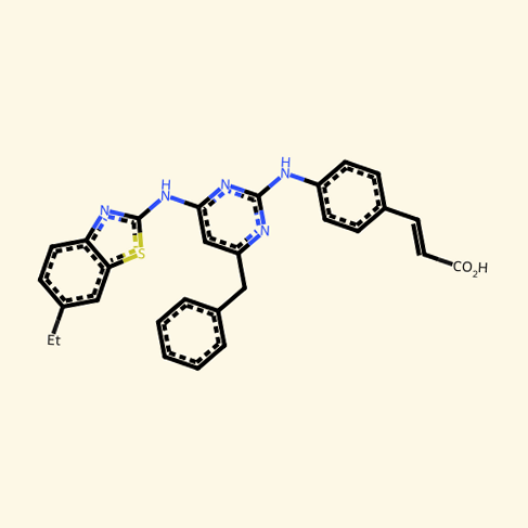 CCc1ccc2nc(Nc3cc(Cc4ccccc4)nc(Nc4ccc(C=CC(=O)O)cc4)n3)sc2c1